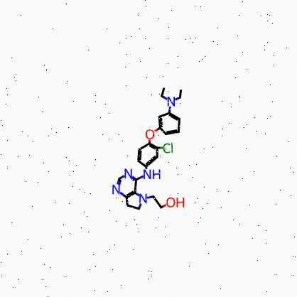 CCN(CC)c1cccc(Oc2ccc(Nc3ncnc4c3N(CCO)CC4)cc2Cl)c1